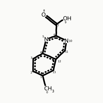 Cc1ccc2nc(C(=O)O)ncc2c1